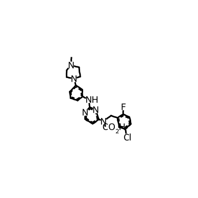 CN1CCN(c2cccc(Nc3nccc(N(Cc4cc(Cl)ccc4F)C(=O)O)n3)c2)CC1